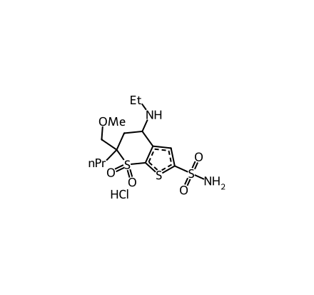 CCCC1(COC)CC(NCC)c2cc(S(N)(=O)=O)sc2S1(=O)=O.Cl